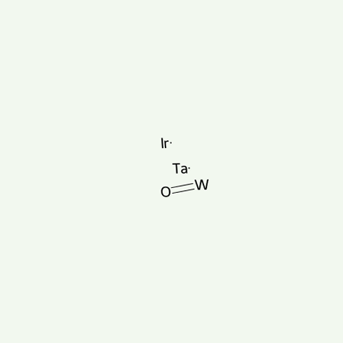 [Ir].[O]=[W].[Ta]